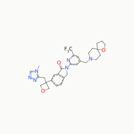 Cn1cnnc1CC1(c2ccc3c(c2)C(=O)N(c2cc(CN4CCC5(CCCO5)CC4)cc(C(F)(F)F)n2)C3)COC1